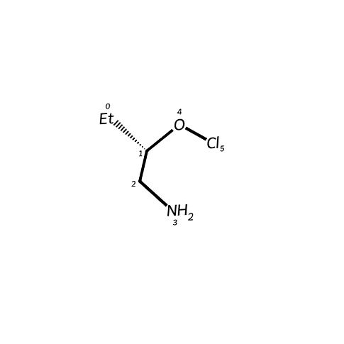 CC[C@@H](CN)OCl